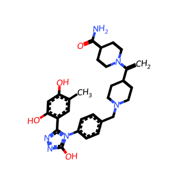 C=C(C1CCN(Cc2ccc(-n3c(O)nnc3-c3cc(C)c(O)cc3O)cc2)CC1)N1CCC(C(N)=O)CC1